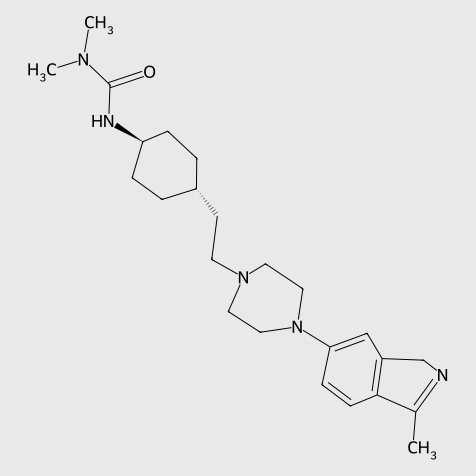 CC1=NCc2cc(N3CCN(CC[C@H]4CC[C@H](NC(=O)N(C)C)CC4)CC3)ccc21